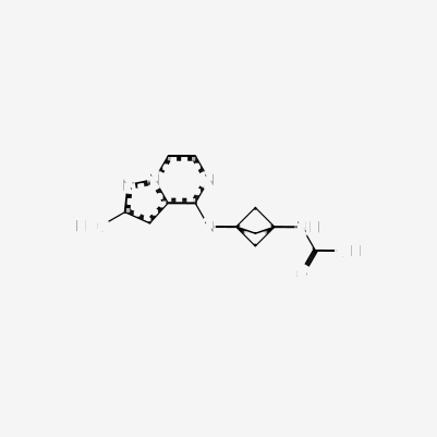 Cc1cc2c(NC34CC(NC(=O)O)(C3)C4)nccn2n1